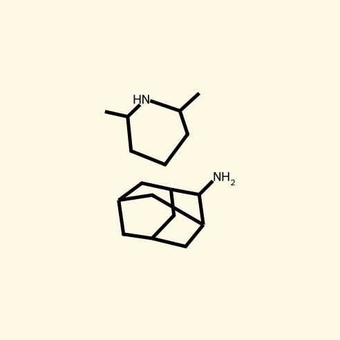 CC1CCCC(C)N1.NC1C2CC3CC(C2)CC1C3